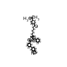 CN(C)C1CCN(C(=O)CCCCCc2cn(-c3ccccc3)c(NC(=O)c3cccc(-c4ccc5scnc5c4)c3)n2)CC1